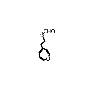 O=COCCC1=CC=COC=C1